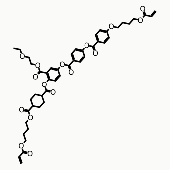 C=CC(=O)OCCCCOC(=O)C1CCC(C(=O)Oc2ccc(OC(=O)c3ccc(OC(=O)c4ccc(OCCCCOC(=O)C=C)cc4)cc3)cc2C(=O)OCCOCC)CC1